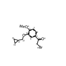 COc1ccc(C(=O)CBr)cc1OCC1CC1